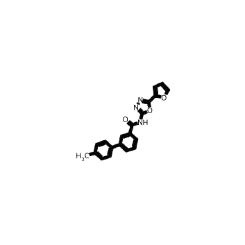 Cc1ccc(-c2cccc(C(=O)Nc3nnc(-c4ccco4)o3)c2)cc1